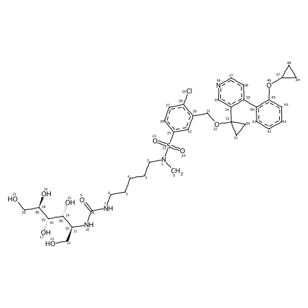 CN(CCCCCNC(=O)N[C@@H](CO)[C@@H](O)[C@H](O)[C@H](O)CO)S(=O)(=O)c1ccc(Cl)c(COC2(c3cnccc3-c3ccccc3OC3CC3)CC2)c1